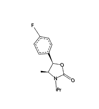 CC(C)N1C(=O)O[C@H](c2ccc(F)cc2)[C@@H]1C